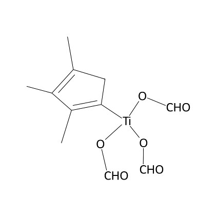 CC1=C(C)C(C)=[C]([Ti]([O]C=O)([O]C=O)[O]C=O)C1